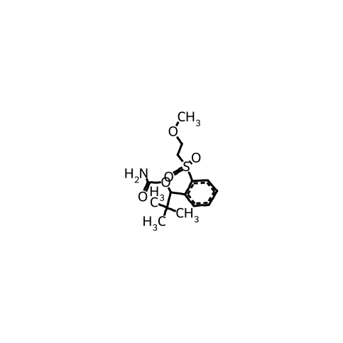 COCCS(=O)(=O)c1ccccc1C(OC(N)=O)C(C)(C)C